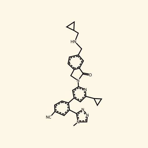 Cn1cnnc1-c1cc(C#N)ccc1-c1cc(C2CC2)nc(N2Cc3ccc(CNCC4CC4)cc3C2=O)c1